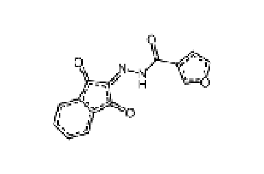 O=C(NN=c1c(=O)c2ccccc2c1=O)c1ccoc1